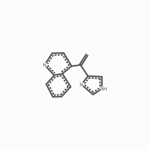 C=C(c1c[nH]cn1)c1ccnc2ccccc12